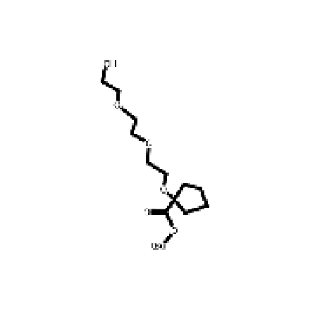 CC(C)(C)OC(=O)C1(OCCOCCOCCO)CCCC1